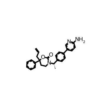 C=CCC1(c2ccccc2)CCN([C@@H](C)c2ccc(-c3ccc(N)nc3)cc2)C(=O)O1